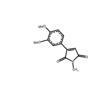 COc1ccc(C2=CC(=O)N(C)C2=O)cc1OC